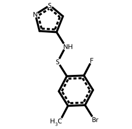 Cc1cc(SNc2cnsc2)c(F)cc1Br